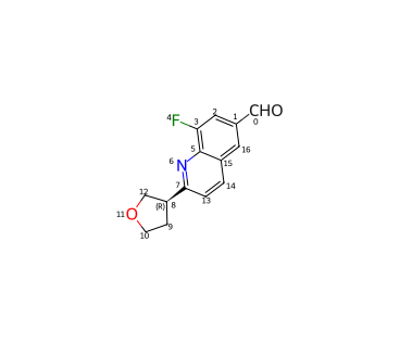 O=Cc1cc(F)c2nc([C@H]3CCOC3)ccc2c1